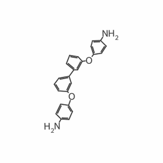 Nc1ccc(Oc2cccc(-c3cccc(Oc4ccc(N)cc4)c3)c2)cc1